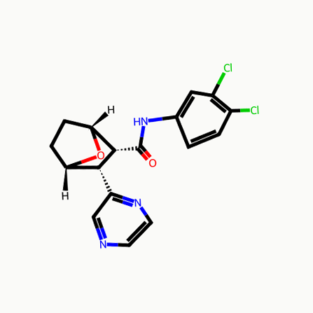 O=C(Nc1ccc(Cl)c(Cl)c1)[C@@H]1[C@H](c2cnccn2)[C@@H]2CC[C@H]1O2